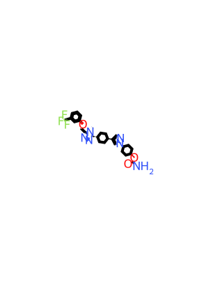 Cn1c(COc2cccc(C(F)(F)F)c2)nnc1[C@H]1CC[C@H](c2cnn([C@H]3CC[C@H](OC(N)=O)CC3)c2)CC1